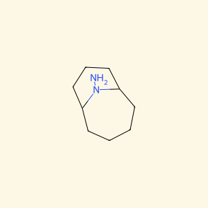 NN1C2CCCCC1CCC2